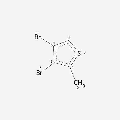 Cc1scc(Br)c1Br